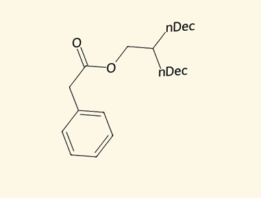 CCCCCCCCCCC(CCCCCCCCCC)COC(=O)Cc1ccccc1